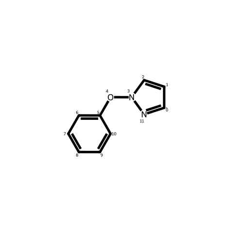 [c]1ccn(Oc2ccccc2)n1